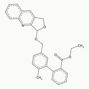 CCOC(=O)c1ccccc1-c1cc(COC2OCc3cc4ccccc4nc32)ccc1C